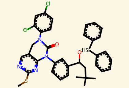 CSc1ncc2c(n1)N(c1cccc(C(CC(C)(C)C)O[SiH](c3ccccc3)c3ccccc3)c1)C(=O)N(c1ccc(Cl)cc1Cl)C2